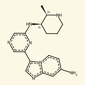 C[C@H]1NCCC[C@H]1Nc1cncc(-c2cnc3cc(N)ccn23)n1